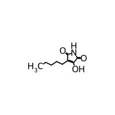 CCCCCC1=C(O)C(=O)NC1=O